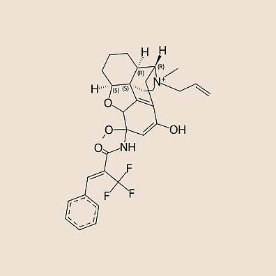 C=CC[N+]1(C)CC[C@@]23C4=C5C[C@@H]1[C@@H]2CCC[C@@H]3OC4C(NC(=O)C(=Cc1ccccc1)C(F)(F)F)(OC)C=C5O